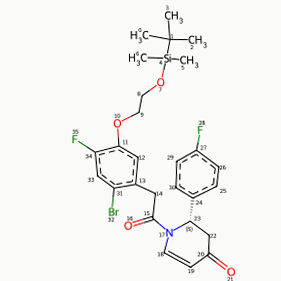 CC(C)(C)[Si](C)(C)OCCOc1cc(CC(=O)N2C=CC(=O)C[C@H]2c2ccc(F)cc2)c(Br)cc1F